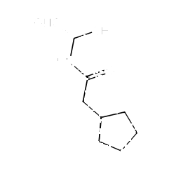 C[C@@H]([C]=O)NC(=O)CC1CCCC1